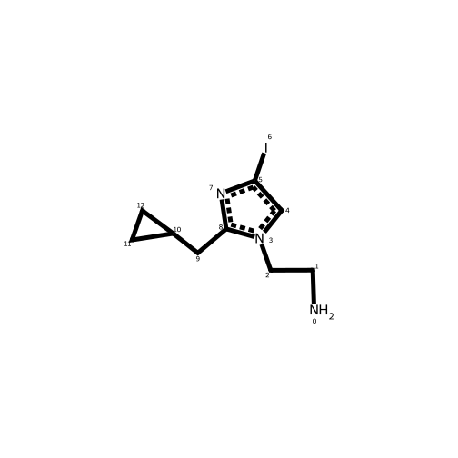 NCCn1cc(I)nc1CC1CC1